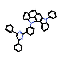 c1ccc(-c2cc(-c3ccccc3)nc(-c3cccc(-n4c5cccc6ccc7cc8c(c9ccccc9n8-c8ccccc8)c4c7c65)c3)n2)cc1